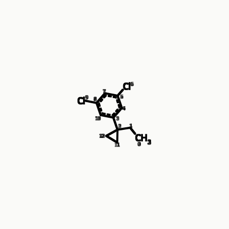 CCC1(c2cc(Cl)cc(Cl)c2)CC1